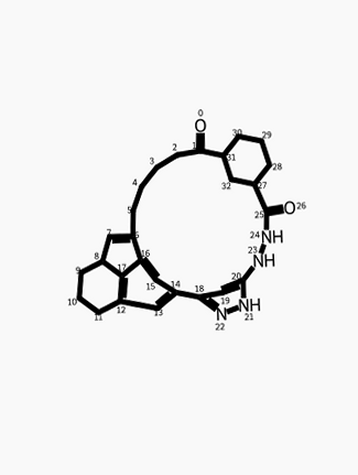 O=C1CCCCC2=CC3CCCc4cc(cc2c43)-c2cc([nH]n2)NNC(=O)C2CCCC1C2